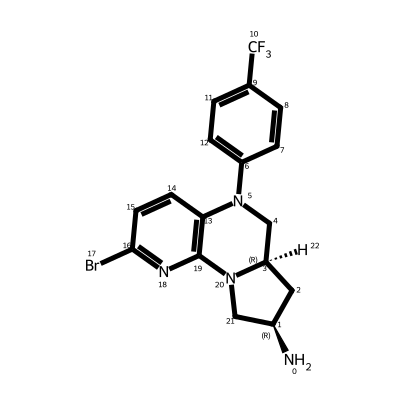 N[C@@H]1C[C@@H]2CN(c3ccc(C(F)(F)F)cc3)c3ccc(Br)nc3N2C1